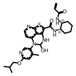 C=CC(=O)N[C@H]1CCCC[C@H]1NC(=O)c1sc2nccc3c2c1NC(O)N3c1cnc(OCC(C)C)cc1C